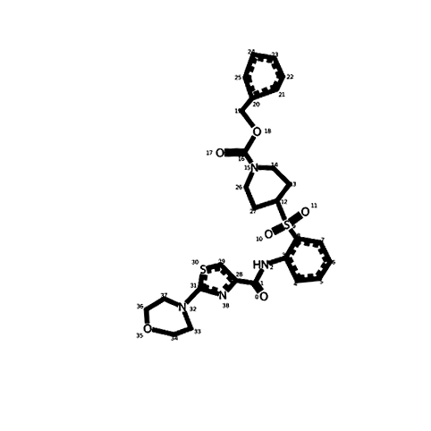 O=C(Nc1ccccc1S(=O)(=O)C1CCN(C(=O)OCc2ccccc2)CC1)c1csc(N2CCOCC2)n1